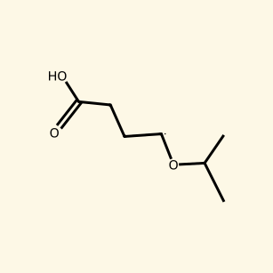 CC(C)O[CH]CCC(=O)O